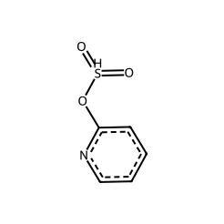 O=[SH](=O)Oc1ccccn1